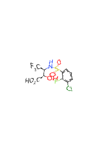 O=C(O)[C@H](O)[C@H](NS(=O)(=O)c1cccc(Cl)c1F)C(F)(F)F